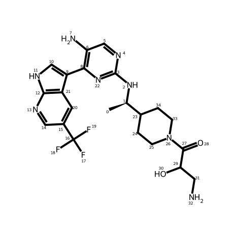 C[C@@H](Nc1ncc(N)c(-c2c[nH]c3ncc(C(F)(F)F)cc23)n1)C1CCN(C(=O)C(O)CN)CC1